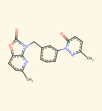 Cc1ccc2oc(=O)n(Cc3cccc(-n4nc(C)ccc4=O)c3)c2n1